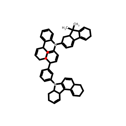 CC1(C)C2=CCCC=C2C2=CC=C(N(C3=CCC(c4cccc(N5C6=C(C7=CCCCC7C=C6)C6C=CCCC65)c4)C=C3)c3ccccc3C3C=CCCC3)CC21